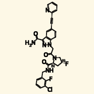 NC(=O)c1nn(CC(=O)N2C[C@H](F)C[C@H]2C(=O)NCc2cccc(Cl)c2F)c2ccc(C#Cc3ccccn3)cc12